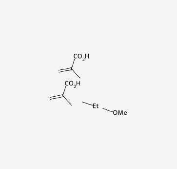 C=C(C)C(=O)O.C=C(C)C(=O)O.CCC.COC